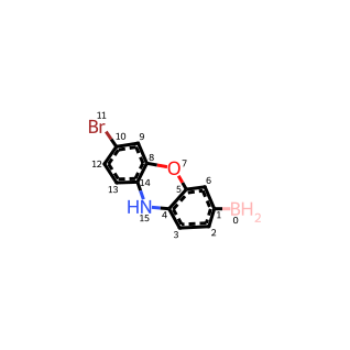 Bc1ccc2c(c1)Oc1cc(Br)ccc1N2